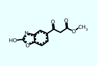 COC(=O)CC(=O)c1ccc2oc(O)nc2c1